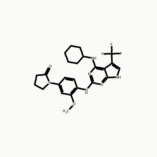 COc1cc(N2CCCC2=O)ccc1Nc1nc(NC2CCCCC2)c2c(C(F)(F)F)c[nH]c2n1